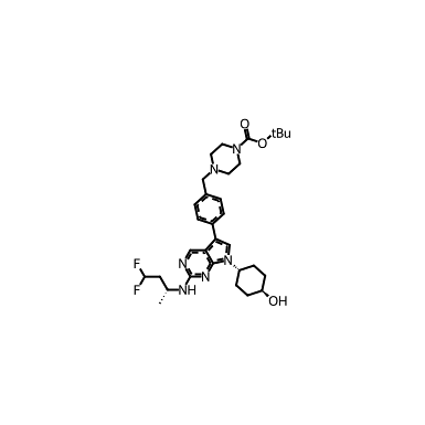 C[C@H](CC(F)F)Nc1ncc2c(-c3ccc(CN4CCN(C(=O)OC(C)(C)C)CC4)cc3)cn([C@H]3CC[C@H](O)CC3)c2n1